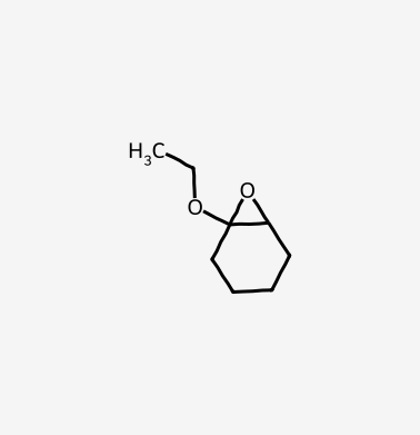 CCOC12CCCCC1O2